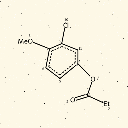 CCC(=O)Oc1ccc(OC)c(Cl)c1